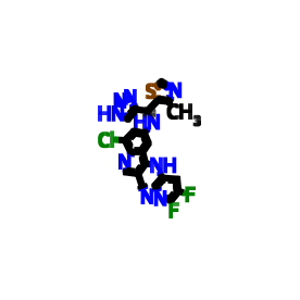 Cc1ncsc1[C@H](Nc1cc(Cl)c2ncc(C#N)c(Nc3cnc(F)c(F)c3)c2c1)c1c[nH]nn1